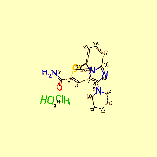 Cl.Cl.NC(=O)C1=Cc2c(N3CCCCC3)nc3cccc(n23)S1